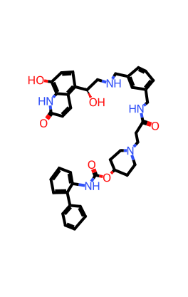 O=C(CCN1CCC(OC(=O)Nc2ccccc2-c2ccccc2)CC1)NCc1cccc(CNC[C@@H](O)c2ccc(O)c3[nH]c(=O)ccc23)c1